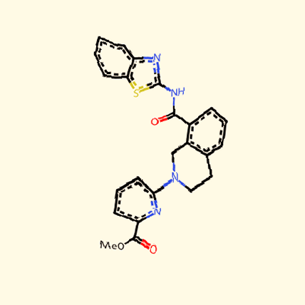 COC(=O)c1cccc(N2CCc3cccc(C(=O)Nc4nc5ccccc5s4)c3C2)n1